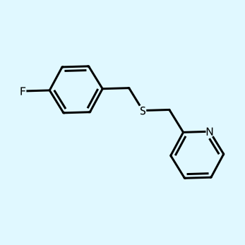 Fc1ccc(CSCc2ccccn2)cc1